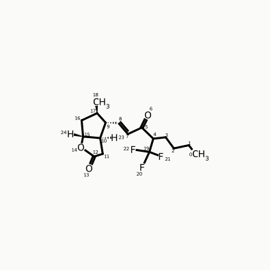 CCCCC(C(=O)C=C[C@@H]1[C@H]2CC(=O)O[C@@H]2C[C@H]1C)C(F)(F)F